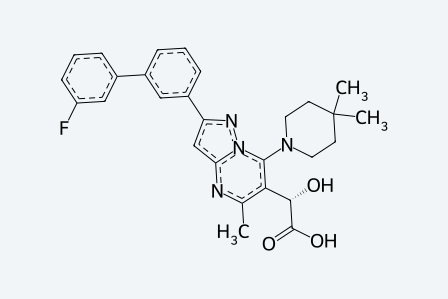 Cc1nc2cc(-c3cccc(-c4cccc(F)c4)c3)nn2c(N2CCC(C)(C)CC2)c1[C@H](O)C(=O)O